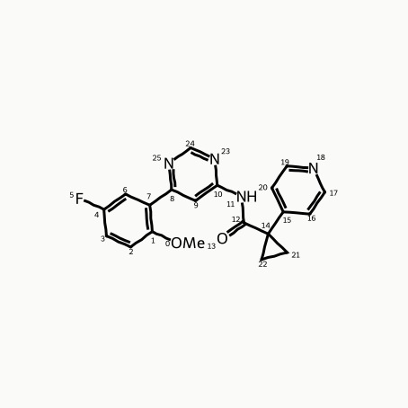 COc1ccc(F)cc1-c1cc(NC(=O)C2(c3ccncc3)CC2)ncn1